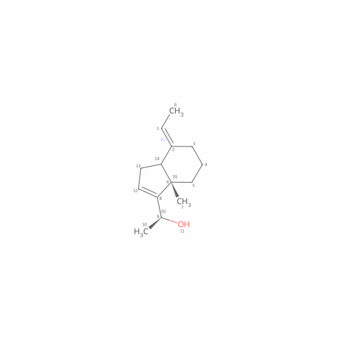 C/C=C1\CCC[C@]2(C)C([C@H](C)O)=CCC12